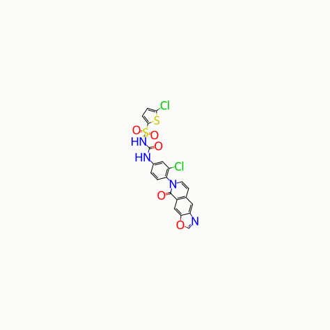 O=C(Nc1ccc(-n2ccc3cc4ncoc4cc3c2=O)c(Cl)c1)NS(=O)(=O)c1ccc(Cl)s1